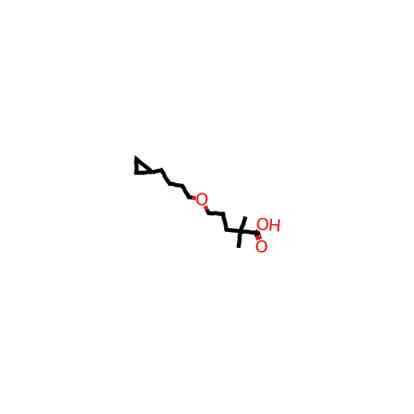 CC(C)(CCCOCCCCC1CC1)C(=O)O